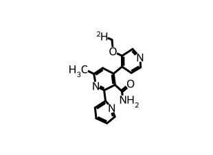 [2H]COc1cnccc1-c1cc(C)nc(-c2ccccn2)c1C(N)=O